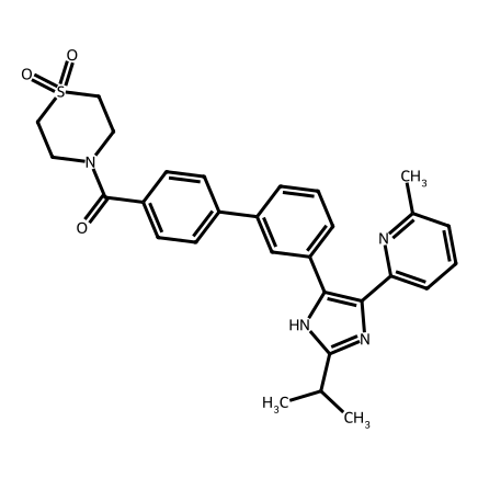 Cc1cccc(-c2nc(C(C)C)[nH]c2-c2cccc(-c3ccc(C(=O)N4CCS(=O)(=O)CC4)cc3)c2)n1